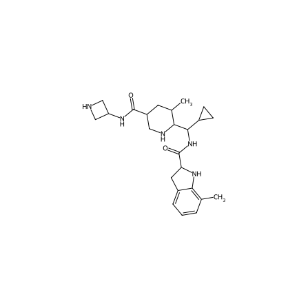 Cc1cccc2c1NC(C(=O)NC(C1CC1)C1NCC(C(=O)NC3CNC3)CC1C)C2